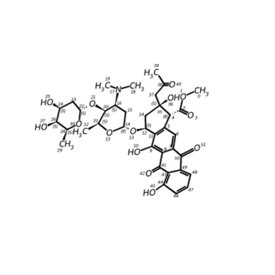 COC(=O)[C@@H]1c2cc3c(c(O)c2[C@@H](O[C@H]2C[C@H](N(C)C)[C@H](O[C@H]4C[C@H](O)[C@H](O)[C@H](C)O4)[C@H](C)O2)C[C@]1(O)CC(C)=O)C(=O)c1c(O)cccc1C3=O